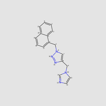 c1ccc2c(Cn3cc(Cn4ccnc4)nn3)cccc2c1